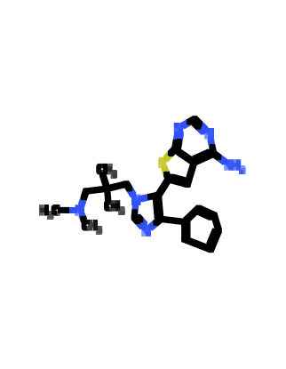 CN(C)CC(C)(C)Cn1cnc(-c2ccccc2)c1-c1cc2c(N)ncnc2s1